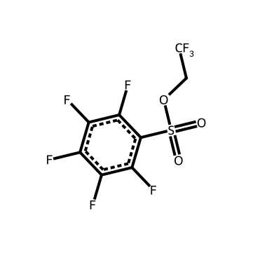 O=S(=O)(OCC(F)(F)F)c1c(F)c(F)c(F)c(F)c1F